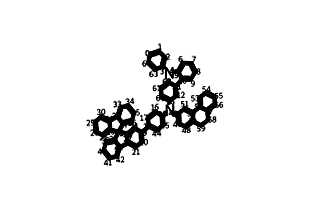 c1ccc(-n2c3ccccc3c3cc(N(c4ccc(-c5ccc6c(c5)C5(c7ccccc7-c7ccccc75)c5ccccc5-6)cc4)c4ccc5c(c4)-c4ccccc4CC5)ccc32)cc1